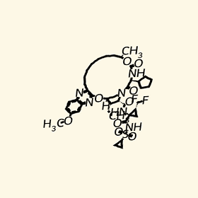 CC[C@@H]1[C@@H]2CN(C(=O)[C@H](C3CCCC3)NC(=O)O[C@@H](C)CCCCCCCc3nc4ccc(OC)cc4nc3O2)[C@@H]1C(=O)N[C@]1(C(=O)NS(=O)(=O)C2CC2)C[C@H]1C(F)F